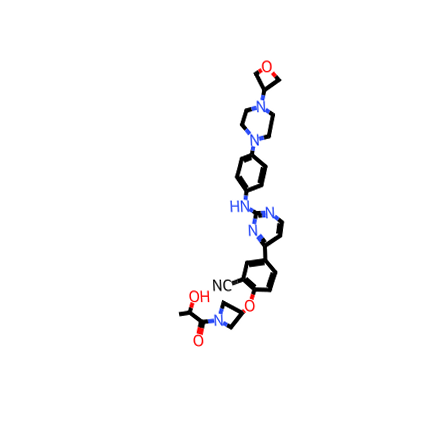 CC(O)C(=O)N1CC(Oc2ccc(-c3ccnc(Nc4ccc(N5CCN(C6COC6)CC5)cc4)n3)cc2C#N)C1